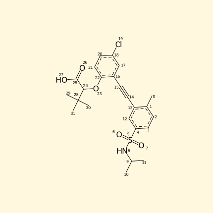 Cc1ccc(S(=O)(=O)NC(C)C)cc1C#Cc1cc(Cl)ccc1OC(C(=O)O)C(C)(C)C